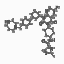 Cc1nc(C(=O)NC2CCC(n3c(=O)c4cc(F)cnc4n(-c4cccc(-c5ccc(CN6CCCNCC6)cc5)c4)c3=O)CC2)cs1